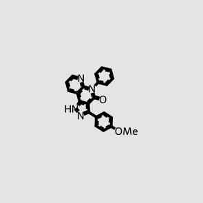 COc1ccc(-c2n[nH]c3c2c(=O)n(-c2ccccc2)c2ncccc32)cc1